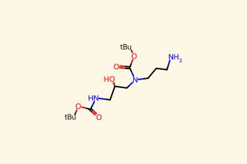 CC(C)(C)OC(=O)NC[C@@H](O)CN(CCCN)C(=O)OC(C)(C)C